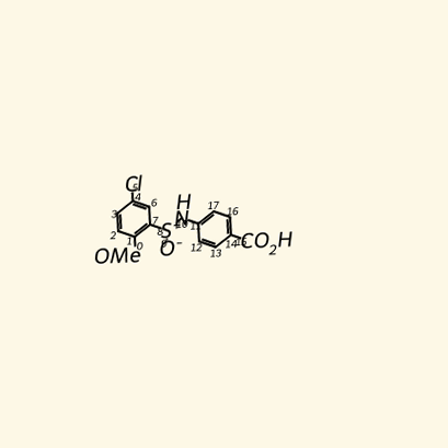 COc1ccc(Cl)cc1[S+]([O-])Nc1ccc(C(=O)O)cc1